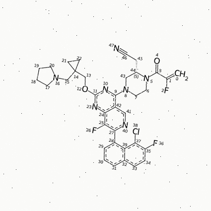 C=C(F)C(=O)N1CCN(c2nc(OCC3(CN4CCCC4)CC3)nc3c(F)c(-c4cccc5ccc(F)c(Cl)c45)ncc23)C[C@@H]1CC#N